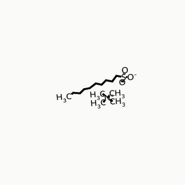 CCCCCCCCCCS(=O)(=O)[O-].C[N+](C)(C)C